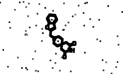 O=C1CC2(CCN(Cc3cc4ccccc4o3)CC2)CC(=O)N1